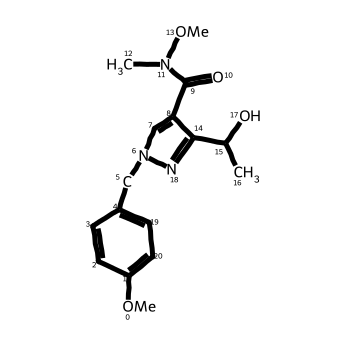 COc1ccc(Cn2cc(C(=O)N(C)OC)c(C(C)O)n2)cc1